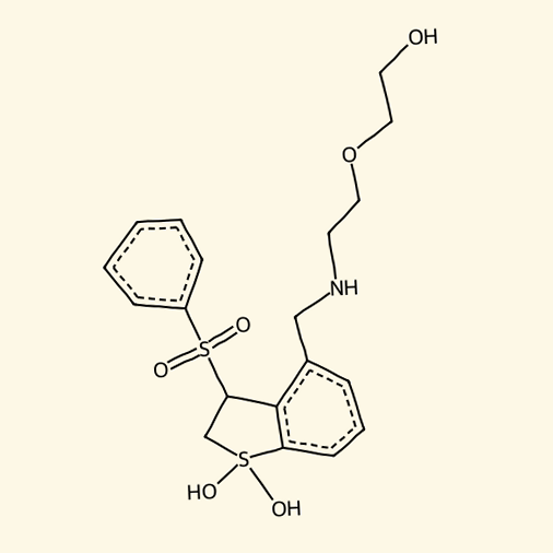 O=S(=O)(c1ccccc1)C1CS(O)(O)c2cccc(CNCCOCCO)c21